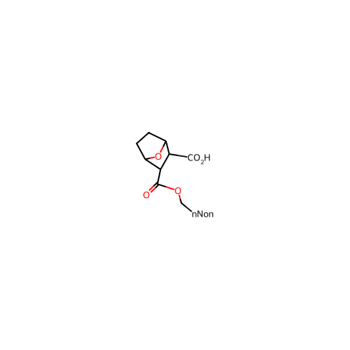 CCCCCCCCCCOC(=O)C1C2CCC(O2)C1C(=O)O